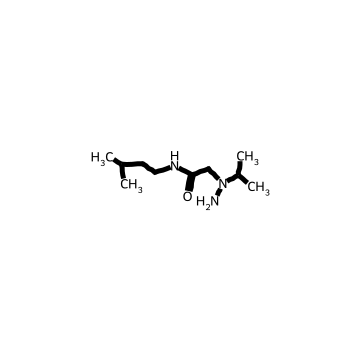 CC(C)CCNC(=O)CN(N)C(C)C